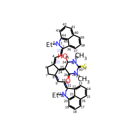 CCn1/c(=C\C=C2\CC/C(=C/C=c3/c4cccc5cccc(c54)n3CC)C2=C2C(=O)N(C)C(=S)N(C)C2O)c2cccc3cccc1c32